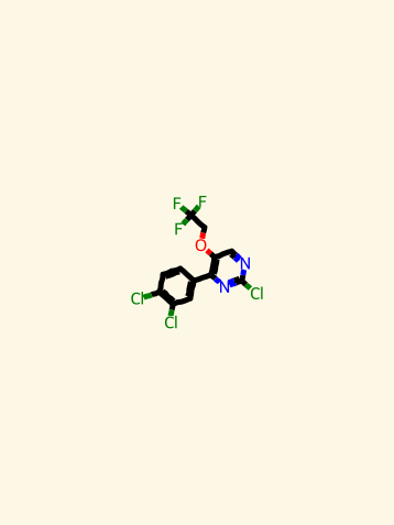 FC(F)(F)COc1cnc(Cl)nc1-c1ccc(Cl)c(Cl)c1